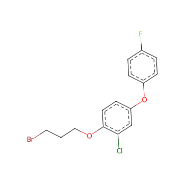 Fc1ccc(Oc2ccc(OCCCBr)c(Cl)c2)cc1